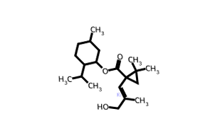 C/C(=C\C1(C(=O)OC2CC(C)CCC2C(C)C)CC1(C)C)CO